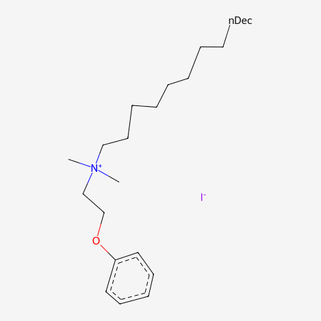 CCCCCCCCCCCCCCCCCC[N+](C)(C)CCOc1ccccc1.[I-]